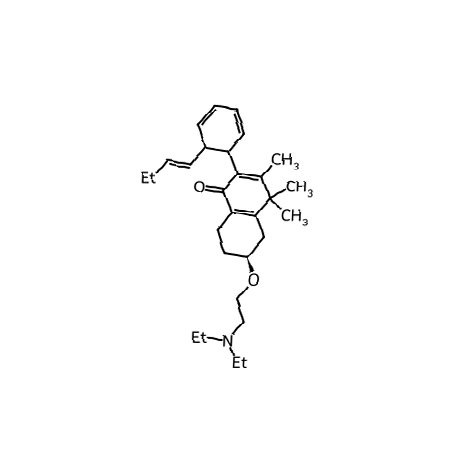 CC/C=C/C1C=CC=CC1C1=C(C)C(C)(C)C2=C(CC[C@H](OCCN(CC)CC)C2)C1=O